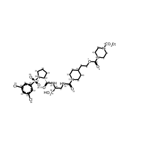 CCOC(=O)N1CCN(C(=O)OCCC2CCN(C(=O)NC[C@H](NC(=O)[C@H]3CCCN3S(=O)(=O)c3cc(Cl)cc(Cl)c3)C(=O)O)CC2)CC1